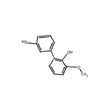 COc1cc[c]c(-c2cccc(O)c2)c1O